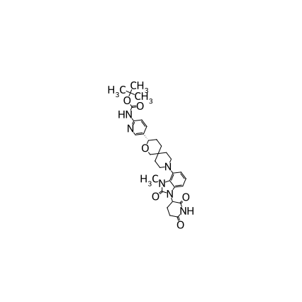 Cn1c(=O)n(C2CCC(=O)NC2=O)c2cccc(N3CCC4(CC[C@@H](c5ccc(NC(=O)OC(C)(C)C)nc5)OC4)CC3)c21